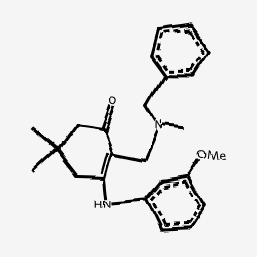 COc1cccc(NC2=C(CN(C)Cc3ccccc3)C(=O)CC(C)(C)C2)c1